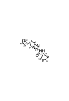 O=C(Nc1nc2ccc(-c3ccoc3)cn2n1)c1cccnc1